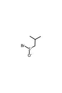 CC(C)C[S+]([O-])Br